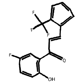 O=C(/C=C/c1ccccc1C(F)(F)F)c1cc(F)ccc1O